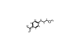 COCCCc1ccc(C(C)C)cc1